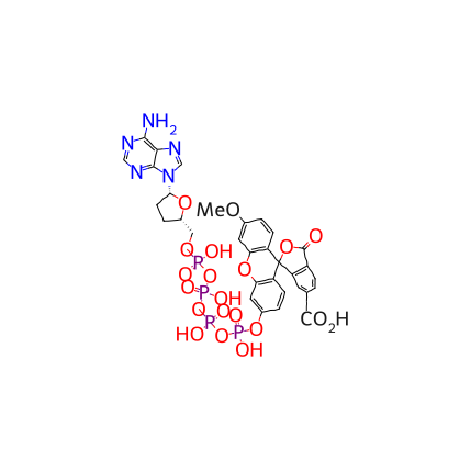 COc1ccc2c(c1)Oc1cc(OP(=O)(O)OP(=O)(O)OP(=O)(O)OP(=O)(O)OC[C@@H]3CC[C@H](n4cnc5c(N)ncnc54)O3)ccc1C21OC(=O)c2ccc(C(=O)O)cc21